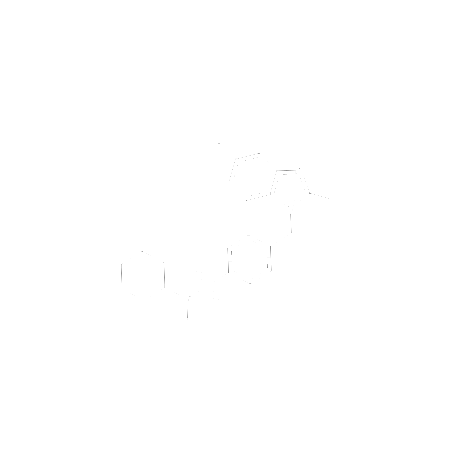 Cc1nc2cc(Cl)ccc2n1Cc1ccc(S(=O)(=O)N(C)C2CCCCC2)cc1